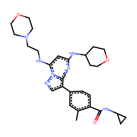 Cc1cc(-c2cnn3c(NCCN4CCOCC4)cc(NC4CCOCC4)nc23)ccc1C(=O)NC1CC1